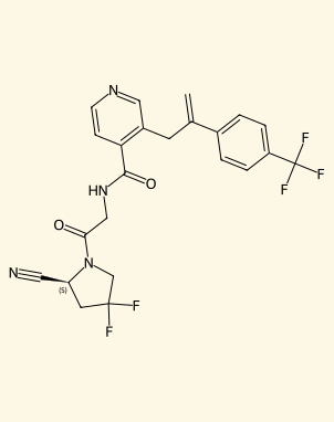 C=C(Cc1cnccc1C(=O)NCC(=O)N1CC(F)(F)C[C@H]1C#N)c1ccc(C(F)(F)F)cc1